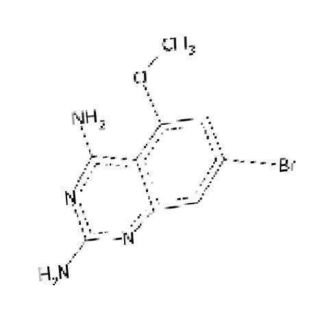 COc1cc(Br)cc2nc(N)nc(N)c12